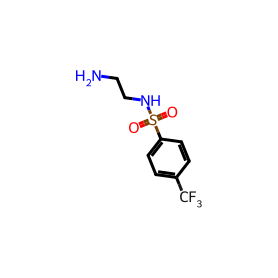 NCCNS(=O)(=O)c1ccc(C(F)(F)F)cc1